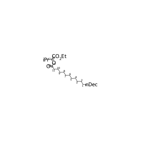 CCCCCCCCCCCCCCCCCCCCCC(=O)OC(C(=O)OCC)C(C)C